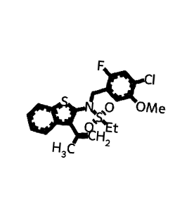 C=C(C)c1c(N(Cc2cc(OC)c(Cl)cc2F)S(=O)(=O)CC)sc2ccccc12